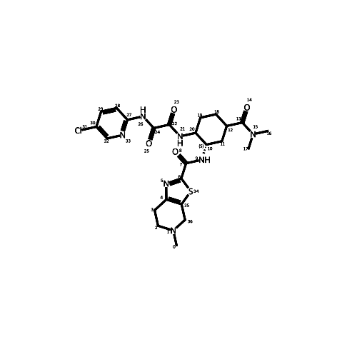 CN1CCc2nc(C(=O)N[C@H]3CC(C(=O)N(C)C)CCC3NC(=O)C(=O)Nc3ccc(Cl)cn3)sc2C1